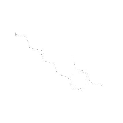 Nc1ccc(OCCOCCI)c(F)c1